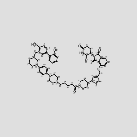 Nc1nnc(-c2ccccc2O)cc1OC1CCCN(c2ccc(N3CCN(CCCCC(=O)N4CCC(n5cc(COc6cccc7c6C(=O)N(C6CCC(=O)NC6=O)C7=O)nn5)CC4)CC3)cc2)C1